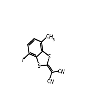 Cc1ccc(I)c2c1SC(=C(C#N)C#N)S2